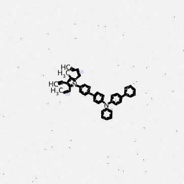 C#C/C=C\c1c(C)c(C#C)c(/C=C\C)n1-c1ccc(-c2ccc(N(c3ccccc3)c3ccc(-c4ccccc4)cc3)cc2)cc1